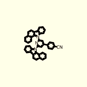 N#Cc1ccc(-c2cc(-n3c4ccccc4c4ccc5ccccc5c43)nc(-n3c4ccccc4c4ccc5ccccc5c43)c2)cc1